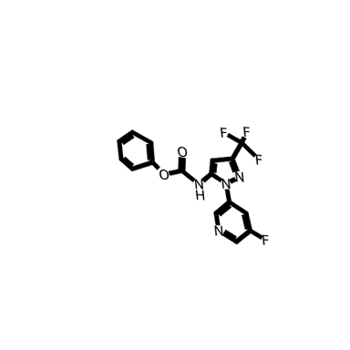 O=C(Nc1cc(C(F)(F)F)nn1-c1cncc(F)c1)Oc1ccccc1